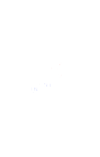 N=C(N)c1ccccc1COB1OCCO1